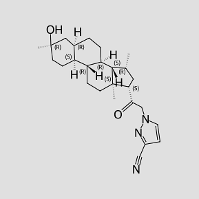 C[C@@H]1C[C@H](C(=O)Cn2ccc(C#N)n2)[C@@]2(C)CC[C@H]3[C@@H](CC[C@@H]4C[C@](C)(O)CC[C@@H]43)[C@H]12